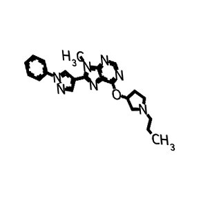 CCCN1CCC(Oc2ncnc3c2nc(-c2cnn(-c4ccccc4)c2)n3C)C1